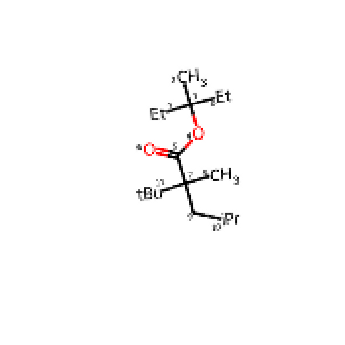 CCC(C)(CC)OC(=O)C(C)(CC(C)C)C(C)(C)C